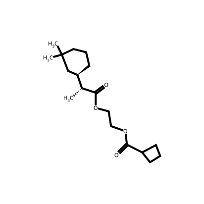 C[C@@H](C(=O)OCCOC(=O)C1CCC1)[C@@H]1CCCC(C)(C)C1